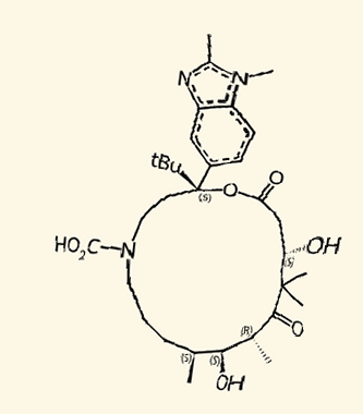 Cc1nc2cc([C@@]3(C(C)(C)C)CCN(C(=O)O)CCC[C@H](C)[C@H](O)[C@@H](C)C(=O)C(C)(C)[C@@H](O)CC(=O)O3)ccc2n1C